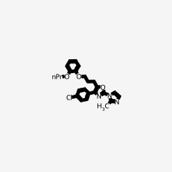 CCCOc1ccccc1OCCCc1oc(-n2ccnc2C)nc1-c1ccc(Cl)cc1